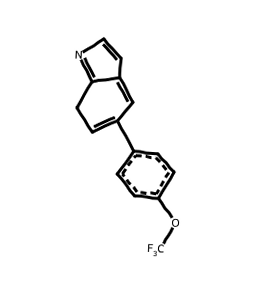 FC(F)(F)Oc1ccc(C2=CCC3=NC=CC3=C2)cc1